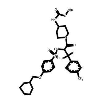 CC(C)(C)OC(=O)NC1CCN(C(=O)C(NS(=O)(=O)c2ccc(OCC3CCCCC3)cc2)C(F)(F)c2ccc(C(F)(F)F)cc2)CC1